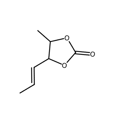 CC=CC1OC(=O)OC1C